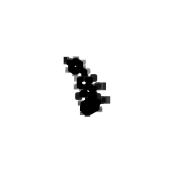 O=C1c2c(O)c(=O)n(C34CC5CC(CC(O)(C5)C3)C4)c(=O)n2CCN1Cc1ccc(F)cc1